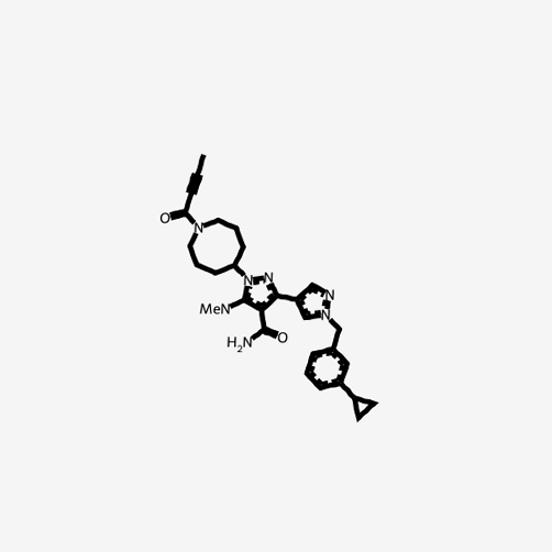 CC#CC(=O)N1CCCC(n2nc(-c3cnn(Cc4cccc(C5CC5)c4)c3)c(C(N)=O)c2NC)CCC1